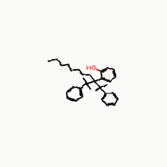 CCCCCCCCC(c1ccccc1O)(C(C)(C)c1ccccc1)C(C)(C)c1ccccc1